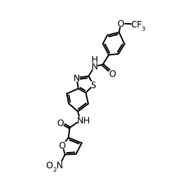 O=C(Nc1nc2ccc(NC(=O)c3ccc([N+](=O)[O-])o3)cc2s1)c1ccc(OC(F)(F)F)cc1